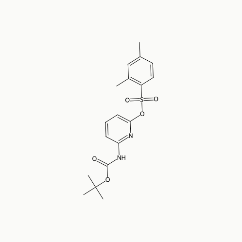 Cc1ccc(S(=O)(=O)Oc2cccc(NC(=O)OC(C)(C)C)n2)c(C)c1